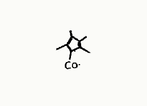 C[C]1C(C)=C(C)C(C)=C1C.[Co]